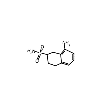 Nc1cccc2c1CC(S(N)(=O)=O)CC2